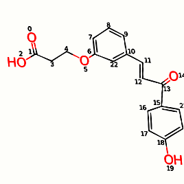 O=C(O)CCOc1cccc(C=CC(=O)c2ccc(O)cc2)c1